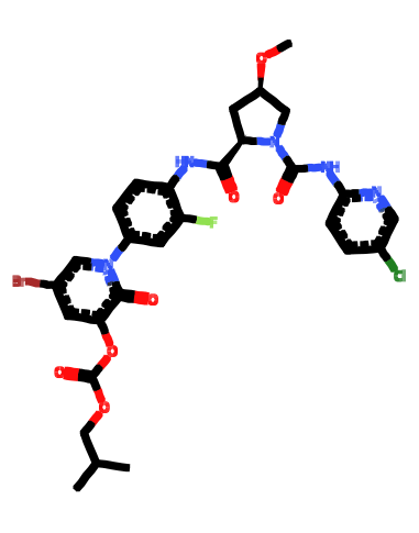 CO[C@@H]1C[C@H](C(=O)Nc2ccc(-n3cc(Br)cc(OC(=O)OCC(C)C)c3=O)cc2F)N(C(=O)Nc2ccc(Cl)cn2)C1